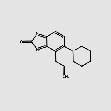 C=CCc1c(N2CCCCC2)ccc2c1=NC(=O)N=2